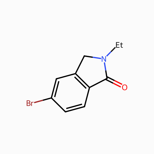 [CH2]CN1Cc2cc(Br)ccc2C1=O